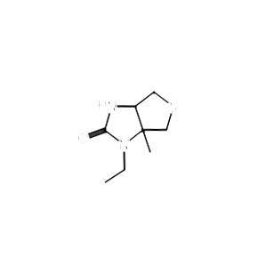 CCN1C(=O)NC2CSCC21C